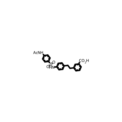 CC(=O)Nc1ccc(S(=O)(=O)Nc2ccc(CCc3cccc(C(=O)O)c3)cc2)cc1